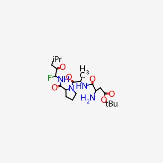 CC(C)CC(=O)C(F)NC(=O)C1CCCN1C(=O)C(C)NC(=O)C(N)CC(=O)OC(C)(C)C